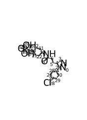 Cn1ncc(C=CC(=O)Nc2ccc(C(C)(C)P(=O)(O)O)cc2)c1-c1ccc(Cl)cc1